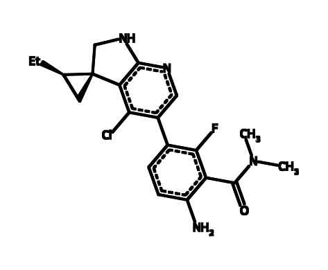 CC[C@@H]1C[C@]12CNc1ncc(-c3ccc(N)c(C(=O)N(C)C)c3F)c(Cl)c12